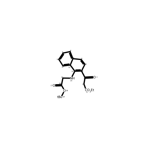 CCOC(=O)CC(=O)c1ccc2ccccc2c1NCC(=O)OC(C)(C)C